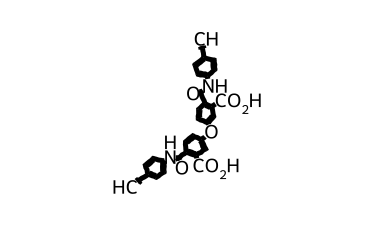 C#Cc1ccc(NC(=O)c2ccc(Oc3ccc(C(=O)Nc4ccc(C#C)cc4)c(C(=O)O)c3)cc2C(=O)O)cc1